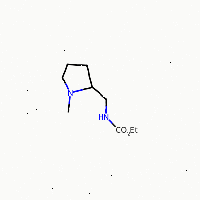 CCOC(=O)NCC1CCCN1C